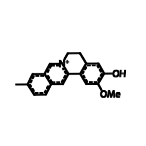 COc1cc2c(cc1O)CC[n+]1cc3cc(C)ccc3cc1-2